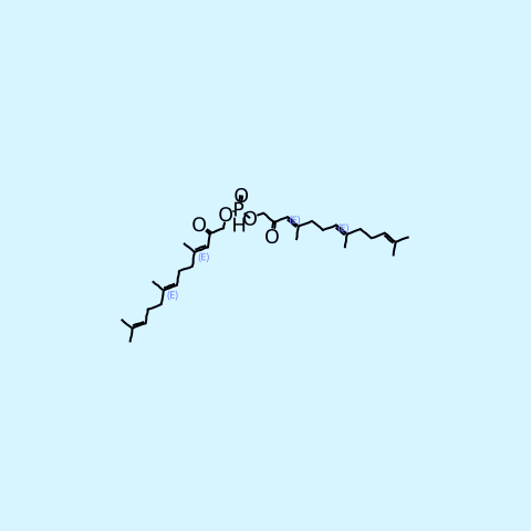 CC(C)=CCC/C(C)=C/CC/C(C)=C/C(=O)CO[PH](=O)OCC(=O)/C=C(\C)CC/C=C(\C)CCC=C(C)C